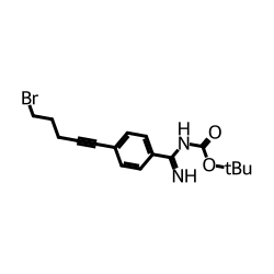 CC(C)(C)OC(=O)NC(=N)c1ccc(C#CCCCBr)cc1